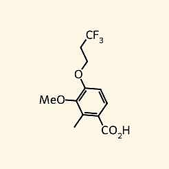 COc1c(OCCC(F)(F)F)ccc(C(=O)O)c1C